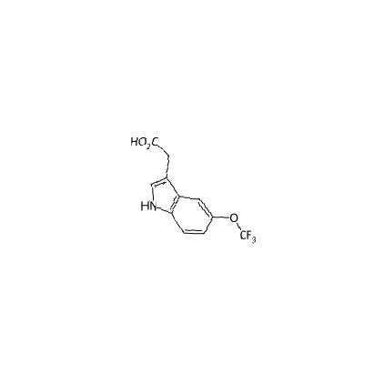 O=C(O)Cc1c[nH]c2ccc(OC(F)(F)F)cc12